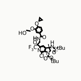 CC(C)(C)OC(=O)N1C[C@@](C)(N[S+]([O-])C(C)(C)C)c2cc(C(O)(CNC(=O)c3ccc(OC4CC4)c(OCCO)c3)C(F)(F)F)nc(Cl)c21